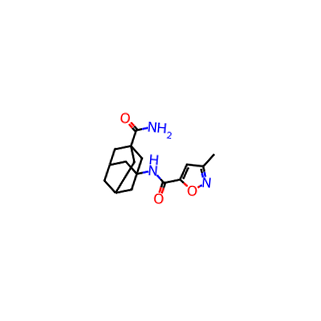 Cc1cc(C(=O)NC23CC4CC(C2)CC(C(N)=O)(C4)C3)on1